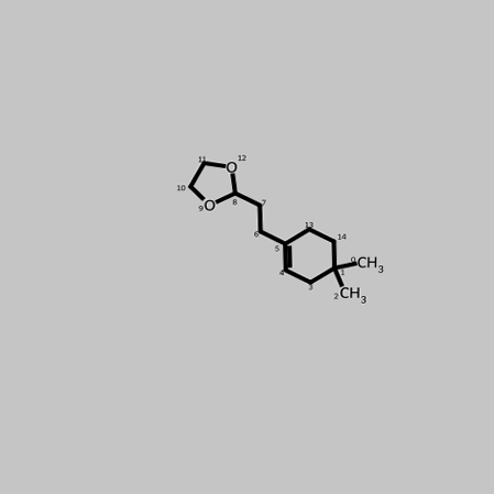 CC1(C)CC=C(CCC2OCCO2)CC1